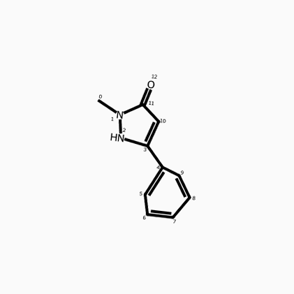 Cn1[nH]c(-c2ccccc2)cc1=O